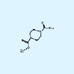 C=C(OCC)C1CCN(C(=O)C(C)(C)C)CC1